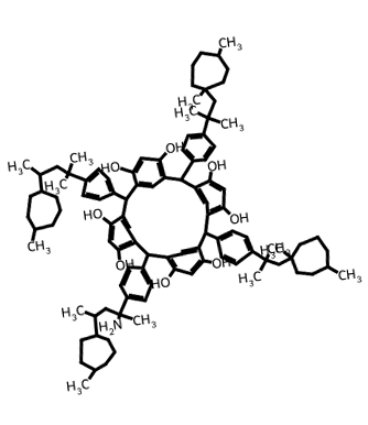 CC1CCCC(C(C)CC(C)(C)c2ccc(C3c4cc(c(O)cc4O)C(c4ccc(C(C)(C)CC5(C)CCCC(C)CC5)cc4)c4cc(c(O)cc4O)C(c4ccc(C(C)(C)CC5(C)CCCC(C)CC5)cc4)c4cc(c(O)cc4O)C(c4ccc(C(C)(N)CC(C)C5CCCC(C)CC5)cc4)c4cc3c(O)cc4O)cc2)CC1